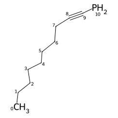 CCCCCCCCC#CP